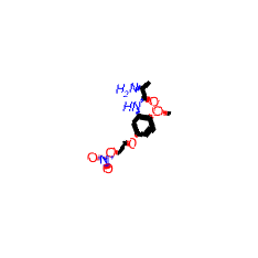 COc1ccc(OCCO[N+](=O)[O-])cc1NC(=O)C(C)N